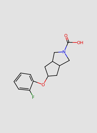 O=C(O)N1CC2CC(Oc3ccccc3F)CC2C1